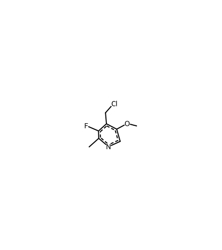 COc1cnc(C)c(F)c1CCl